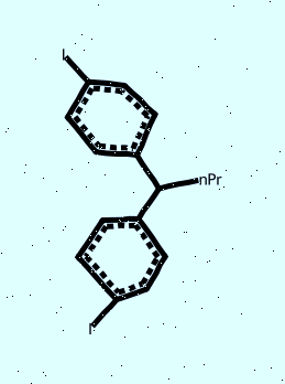 [CH2]CCC(c1ccc(I)cc1)c1ccc(I)cc1